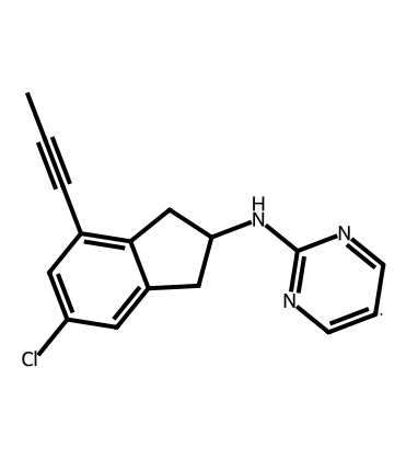 CC#Cc1cc(Cl)cc2c1CC(Nc1nc[c]cn1)C2